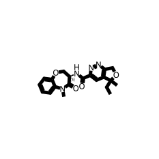 CCC1(C)OCc2nnc(C(=O)N[C@H]3COc4ccccc4N(C)C3=O)cc21